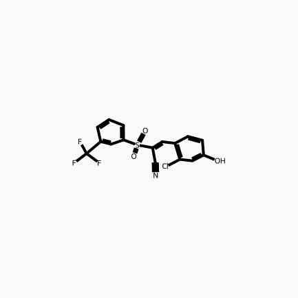 N#CC(=Cc1ccc(O)cc1Cl)S(=O)(=O)c1cccc(C(F)(F)F)c1